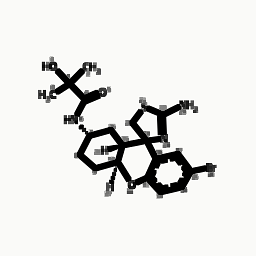 CC(C)(O)C(=O)N[C@H]1CC[C@@H]2Oc3ccc(Br)cc3C3(CSC(N)=N3)[C@H]2C1